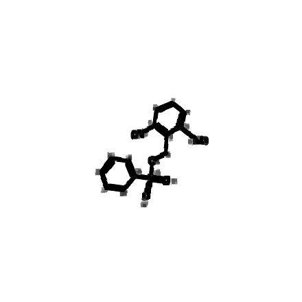 O=Nc1cccc(N=O)c1COS(=O)(=O)c1ccccc1